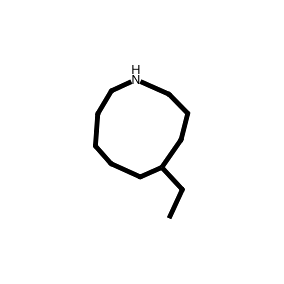 CCC1CCCCCNCCC1